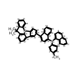 Cc1ccc(N(c2cccc3ccccc23)c2ccc(-c3ccc4c(c3)c3cccc5c3n4-c3ccccc3C5(C)C)c3ccccc23)cc1